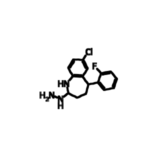 NNC1CCC(c2ccccc2F)c2cc(Cl)ccc2N1